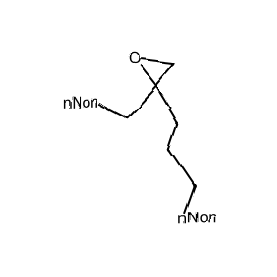 CCCCCCCCCCCCC1(CCCCCCCCCC)CO1